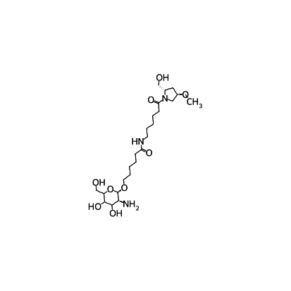 CO[C@@H]1C[C@@H](CO)N(C(=O)CCCCCNC(=O)CCCCCO[C@@H]2OC(CO)C(O)C(O)[C@@H]2N)C1